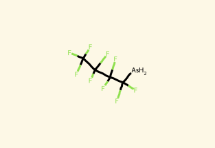 FC(F)(F)C(F)(F)C(F)(F)C(F)(F)[AsH2]